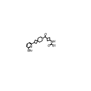 CCC(=O)NC1CC(C(=O)N2CCC3(CC2)CC(c2cccc(C(C)(C)C)n2)C3)C1